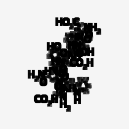 NC(=O)CC[C@H](NC(=O)[C@H](Cc1c[nH]c2ccccc12)NC(=O)[C@@H](N)CC(=O)O)C(=O)N[C@@H](Cc1ccc(O)cc1)C(=O)N[C@@H](CC(=O)O)C(=O)N[C@@H](Cc1ccccc1)C(=O)N[C@@H](CO)C(=O)N[C@@H](CCC(=O)O)C(N)=O